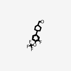 O=CC1CCC(c2ccc(OC(F)(F)F)c(F)c2)CC1